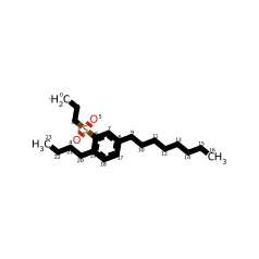 [CH2]CCS(=O)(=O)c1cc(CCCCCCCC)ccc1CCCC